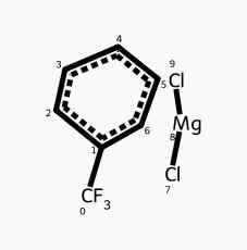 FC(F)(F)c1cc[c]cc1.[Cl][Mg][Cl]